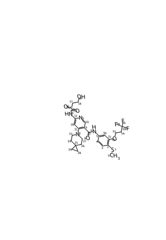 CSc1ccc(NC(=O)c2cnc(NS(=O)(=O)CCO)cc2N2CCC3(CC2)CC3)cc1OCCC(F)(F)F